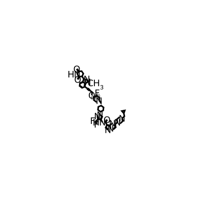 Cn1nc(C2CCC(=O)NC2=O)c2cccc(C#CCO[C@H]3CCN(C[C@H]4CC[C@H](n5cc(NC(=O)c6cnn7ccc(N8CCN(CC9CC9)CC8)nc67)c(C(F)F)n5)CC4)C[C@H]3F)c21